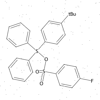 CC(C)(C)c1ccc(S(OS(=O)(=O)c2ccc(F)cc2)(c2ccccc2)c2ccccc2)cc1